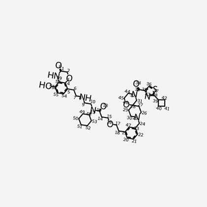 O=C1COc2c(CCNCCN(C(=O)CCOCCc3cccc(CN4CCC5(CC4)CN(C(=O)c4csc(C6CCC6)n4)CCO5)c3)C3CCCCC3)ccc(O)c2N1